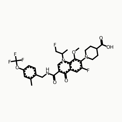 COc1c(N2CCC(C(=O)O)CC2)c(F)cc2c(=O)c(C(=O)NCc3ccc(OC(F)(F)F)cc3C)cn(C(C)CF)c12